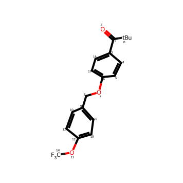 CC(C)(C)C(=O)c1ccc(OCc2ccc(OC(F)(F)F)cc2)cc1